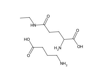 CCNC(=O)CCC(N)C(=O)O.NCCCC(=O)O